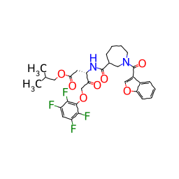 CC(C)COC(=O)C[C@H](NC(=O)C1CCCCN(C(=O)c2coc3ccccc23)C1)C(=O)COc1c(F)c(F)cc(F)c1F